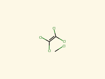 CCl.ClC(Cl)=C(Cl)Cl